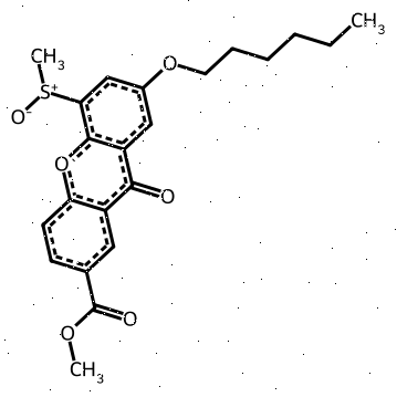 CCCCCCOc1cc([S+](C)[O-])c2oc3ccc(C(=O)OC)cc3c(=O)c2c1